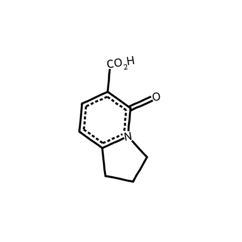 O=C(O)c1ccc2n(c1=O)CCC2